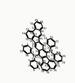 c1ccc(N(c2ccccn2)c2c3cc4c(cc3c(N(c3ccccc3)c3ccccn3)c3c5cccc6cccc(c23)c65)c2cc3ccccc3c3cccc4c32)cc1